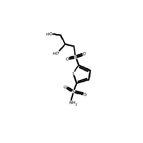 NS(=O)(=O)c1ccc(S(=O)(=O)CC(O)CO)s1